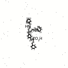 O=C(O)N(CCc1ccccc1)Cc1ccc(CN(CCNCc2ccccn2)CCNCc2ccccn2)cc1